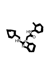 Cc1ccccc1NC(=O)Cn1c(NCc2ccccc2)nc2ccccc21